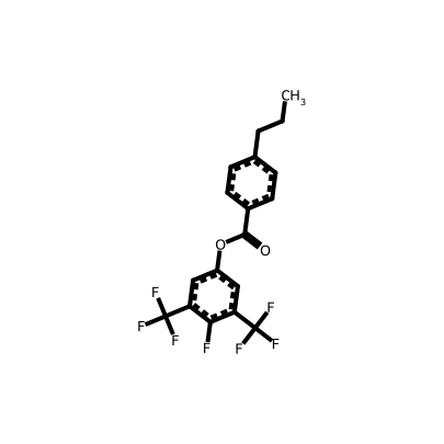 CCCc1ccc(C(=O)Oc2cc(C(F)(F)F)c(F)c(C(F)(F)F)c2)cc1